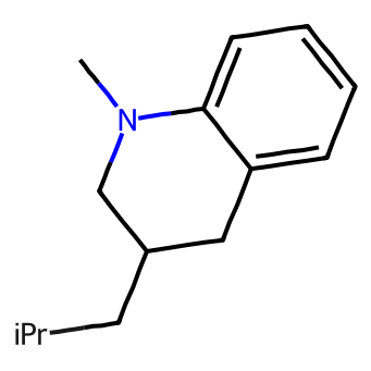 CC(C)CC1Cc2ccccc2N(C)C1